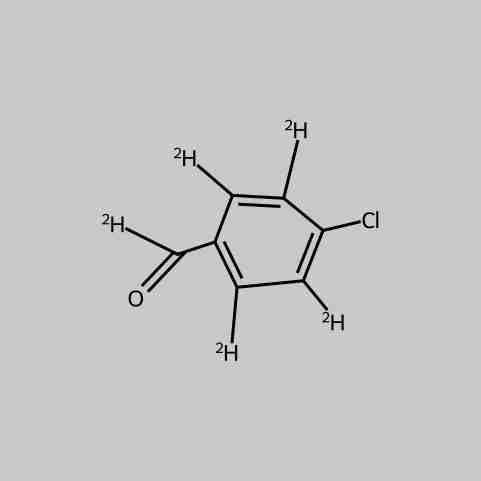 [2H]C(=O)c1c([2H])c([2H])c(Cl)c([2H])c1[2H]